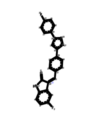 O=C1Nc2ccc(F)cc2/C1=C/c1ccc(-c2cn(-c3ccc(F)cc3)nn2)cc1